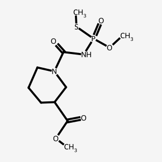 COC(=O)C1CCCN(C(=O)NP(=O)(OC)SC)C1